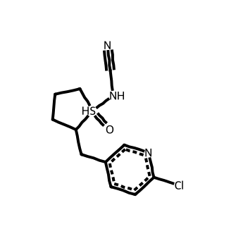 N#CN[SH]1(=O)CCCC1Cc1ccc(Cl)nc1